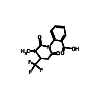 CN1C(=O)N(c2ccccc2C(=O)O)C(=O)CC1C(F)(F)F